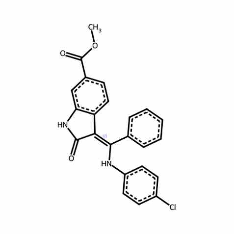 COC(=O)c1ccc2c(c1)NC(=O)/C2=C(\Nc1ccc(Cl)cc1)c1ccccc1